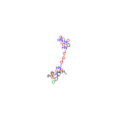 CC(C)C(CS(=O)(=O)C(C)C)N1C(=O)[C@@](C)(CC(=O)NCCCOCCOCCOCCCNc2cccc3c2C(=O)N(C2CCC(=O)NC2=O)C3=O)CC[C@H]1c1ccc(Cl)cc1